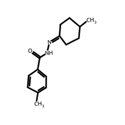 Cc1ccc(C(=O)NN=C2CCC(C)CC2)cc1